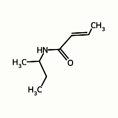 CC=CC(=O)NC(C)CC